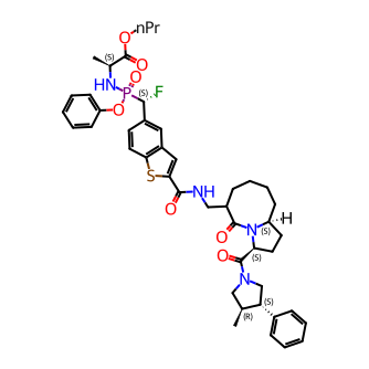 CCCOC(=O)[C@H](C)NP(=O)(Oc1ccccc1)[C@H](F)c1ccc2sc(C(=O)NCC3CCCC[C@H]4CC[C@@H](C(=O)N5C[C@H](c6ccccc6)[C@@H](C)C5)N4C3=O)cc2c1